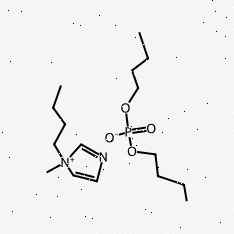 CCCCOP(=O)([O-])OCCCC.CCCC[N+]1(C)C=CN=C1